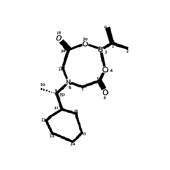 C=C(C)B1OC(=O)CN([C@@H](C)C2CCCCC2)CC(=O)O1